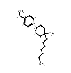 CCCCCCC[C@]1(C)CC[C@H](c2ccc(OC)cc2)CC1